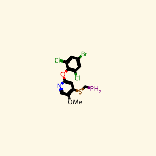 COc1cnc(Oc2c(Cl)cc(Br)cc2Cl)cc1SCP